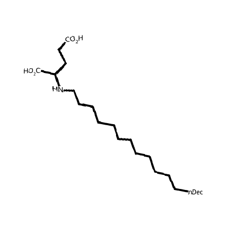 CCCCCCCCCCCCCCCCCCCCCCNC(CCC(=O)O)C(=O)O